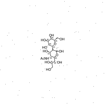 [CH2][C@]1(O)O[C@@H]([C@H](O)[C@H](O)CO)[C@H](NC(C)=O)[C@@H](O)C1[C@@H]1O[C@H](CO)[C@H](O)[C@H](O)[C@H]1O